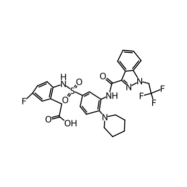 O=C(O)Cc1cc(F)ccc1NS(=O)(=O)c1ccc(N2CCCCC2)c(NC(=O)c2nn(CC(F)(F)F)c3ccccc23)c1